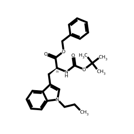 CCCn1cc(C[C@H](NC(=O)OC(C)(C)C)C(=O)OCc2ccccc2)c2ccccc21